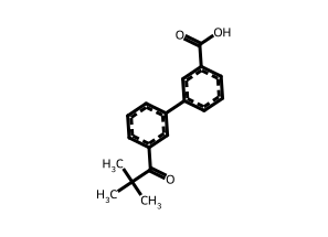 CC(C)(C)C(=O)c1cccc(-c2cccc(C(=O)O)c2)c1